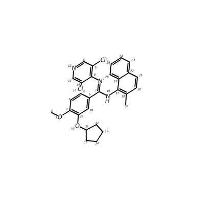 COc1ccc(C(=Nc2c(Cl)cncc2Cl)Nc2c(C)ccc3ccccc23)cc1OC1CCCC1